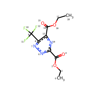 CCOC(=O)c1nnc(C(F)(F)F)c(C(=O)OCC)n1